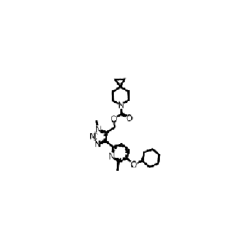 Cc1nc(-c2nnn(C)c2COC(=O)N2CCC3(CC2)CC3)ccc1OC1CCCCC1